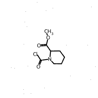 COC(=O)C1CCCCN1C(=O)Cl